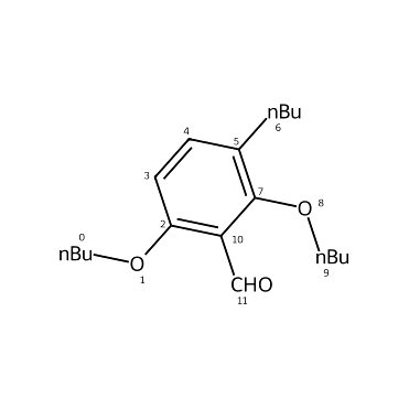 CCCCOc1ccc(CCCC)c(OCCCC)c1C=O